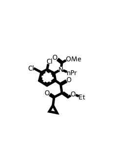 CCCN(C(=O)OC)c1c(C(=O)/C(=C\OCC)C(=O)C2CC2)ccc(Cl)c1Cl